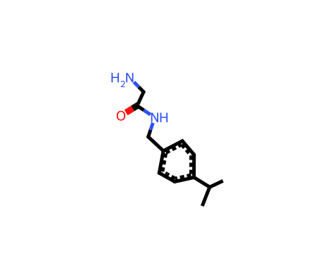 CC(C)c1ccc(CNC(=O)CN)cc1